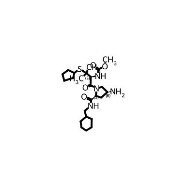 COC(=O)N[C@@H](C(=O)N1C[C@H](N)C[C@H]1C(=O)NCC1CCCCC1)C(C)(C)SC1CCCC1